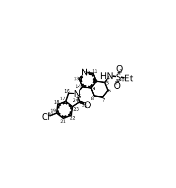 CCS(=O)(=O)NC1CCCc2c1cncc2N1Cc2cc(Cl)ccc2C1=O